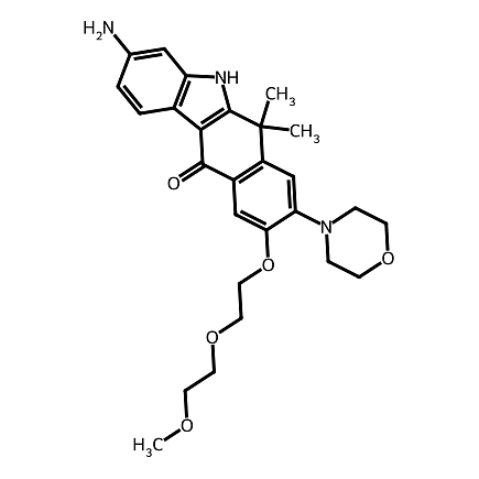 COCCOCCOc1cc2c(cc1N1CCOCC1)C(C)(C)c1[nH]c3cc(N)ccc3c1C2=O